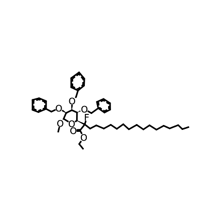 CCCCCCCCCCCCCCCCC(F)(C(=O)OCC)[C@H]1O[C@H](OC)[C@@H](OCc2ccccc2)[C@@H](OCc2ccccc2)[C@@H]1OCc1ccccc1